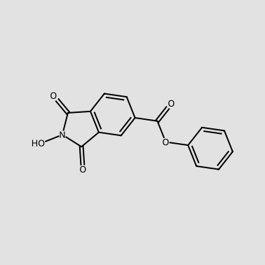 O=C(Oc1ccccc1)c1ccc2c(c1)C(=O)N(O)C2=O